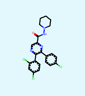 O=C(NN1CCCCC1)c1cnc(-c2ccc(Cl)cc2Cl)c(-c2ccc(Cl)cc2)n1